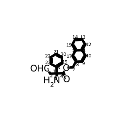 NC(CC=O)(C(=O)OCc1ccc2ccccc2c1)c1ccccc1